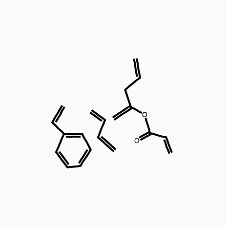 C=CC=C.C=CCC(=C)OC(=O)C=C.C=Cc1ccccc1